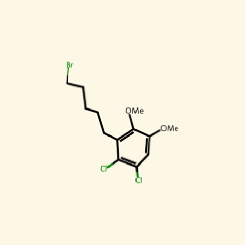 COc1cc(Cl)c(Cl)c(CCCCCBr)c1OC